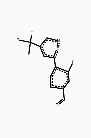 O=Cc1ccc(-c2cncc(C(F)(F)F)c2)c(F)c1